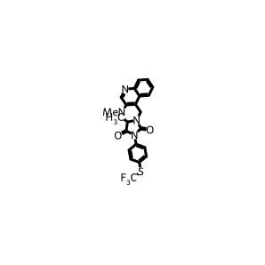 CNc1cnc2ccccc2c1CN1C(=O)N(c2ccc(SC(F)(F)F)cc2)C(=O)C1C